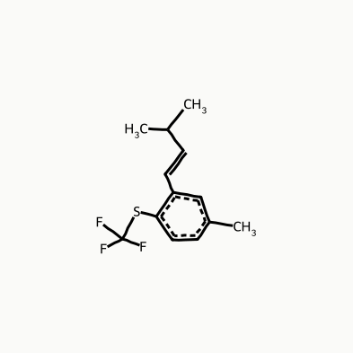 Cc1ccc(SC(F)(F)F)c(C=CC(C)C)c1